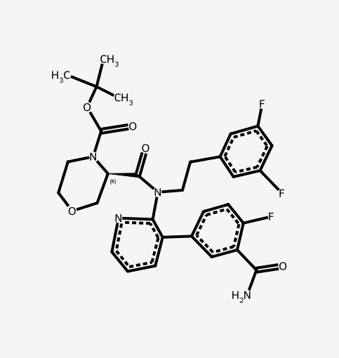 CC(C)(C)OC(=O)N1CCOC[C@@H]1C(=O)N(CCc1cc(F)cc(F)c1)c1ncccc1-c1ccc(F)c(C(N)=O)c1